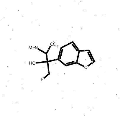 CNC(C(Cl)(Cl)Cl)C(O)(CF)c1ccc2ccoc2c1